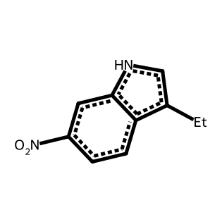 CCc1c[nH]c2cc([N+](=O)[O-])ccc12